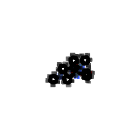 C1=c2c(c3c(-c4ccc(N(c5ccccc5)c5ccccc5)cc4)cccc3n2-c2ccccc2)=C(c2nc(-c3ccccc3)nc(-c3ccccc3)n2)CC1